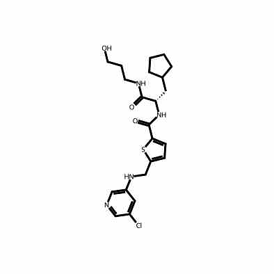 O=C(N[C@@H](CC1CCCC1)C(=O)NCCCO)c1ccc(CNc2cncc(Cl)c2)s1